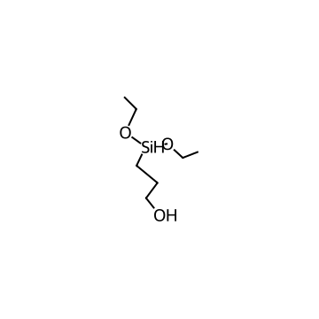 CCO[SiH](CCCO)OCC